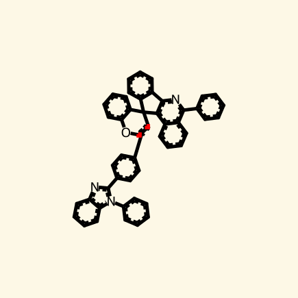 c1ccc(-c2nc3c(c4ccccc24)C2(c4ccccc4Oc4c(-c5ccc(-c6nc7ccccc7n6-c6ccccc6)cc5)cccc42)c2ccccc2-3)cc1